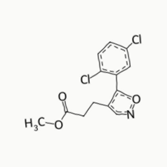 COC(=O)CCc1cnoc1-c1cc(Cl)ccc1Cl